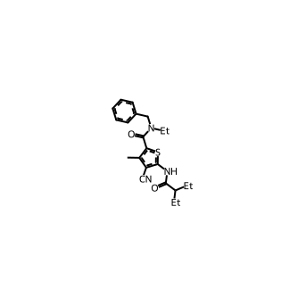 CCC(CC)C(=O)Nc1sc(C(=O)N(CC)Cc2ccccc2)c(C)c1C#N